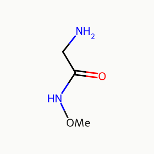 CONC(=O)CN